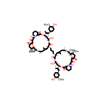 CO[C@H]1C[C@@H](C)C/C(C)=C/[C@@H](CCCC[C@@H]2/C=C(\C)C[C@H](C)C[C@H](OC)[C@H]3O[C@@](O)(C(=O)C(=O)N4CCCC[C@H]4C(=O)O[C@H](/C(C)=C/[C@@H]4CC[C@@H](O)[C@H](OC)C4)[C@H](C)[C@@H](O)CC2=O)[C@H](C)C[C@@H]3OC)C(=O)C[C@H](O)[C@@H](C)[C@@H](/C(C)=C/[C@@H]2CC[C@@H](O)[C@H](OC)C2)OC(=O)[C@@H]2CCCCN2C(=O)C(=O)[C@]2(O)O[C@H]1[C@@H](OC)C[C@H]2C